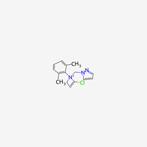 Cc1cccc(C)c1[N+]1(Cn2cccn2)CC=C1Cl